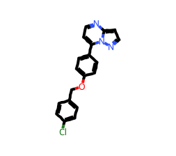 Clc1ccc(COc2ccc(-c3ccnc4ccnn34)cc2)cc1